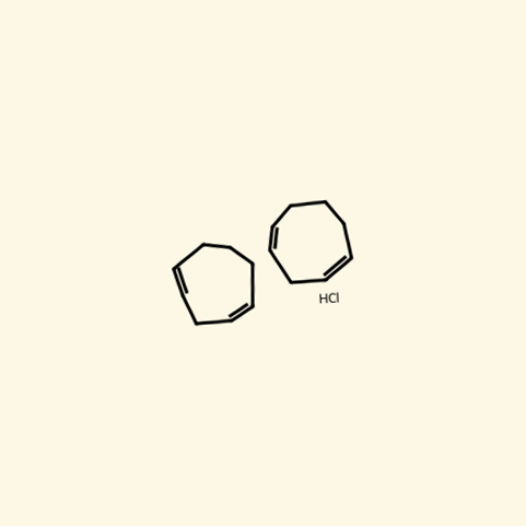 C1=CCCCC=CC1.C1=CCCCC=CC1.Cl